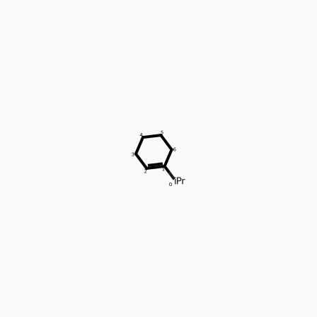 [CH2]C(C)C1=CCCCC1